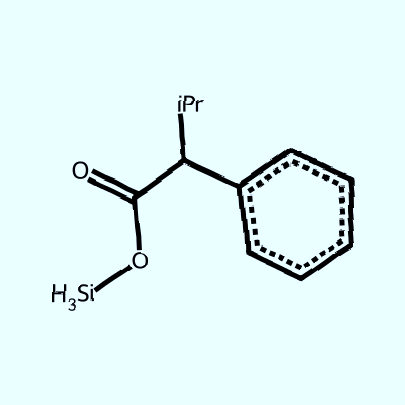 CC(C)C(C(=O)O[SiH3])c1ccccc1